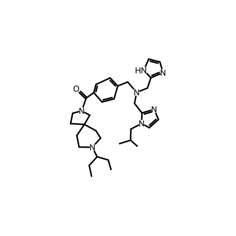 CCC(CC)N1CCC2(CCN(C(=O)c3ccc(CN(Cc4ncc[nH]4)Cc4nccn4CC(C)C)cc3)C2)CC1